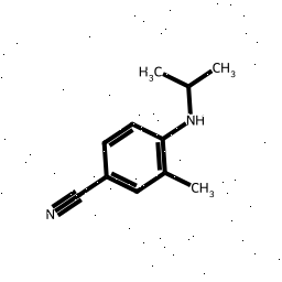 Cc1cc(C#N)ccc1NC(C)C